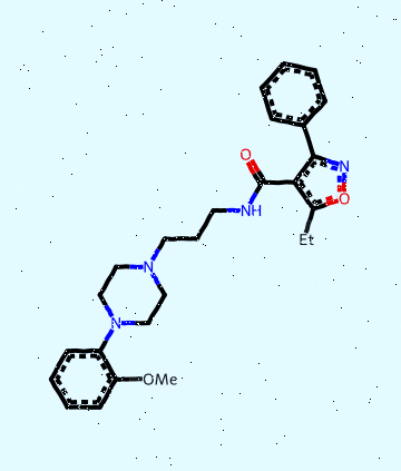 CCc1onc(-c2ccccc2)c1C(=O)NCCCN1CCN(c2ccccc2OC)CC1